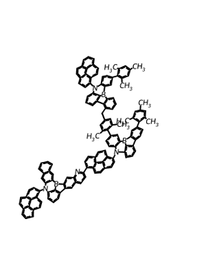 Cc1cc(C)c(-c2ccc3c(c2)B2c4cc(-c5c(C)cc(Cc6cccc7c6-c6cccc8c6B7c6cc(-c7c(C)cc(C)cc7C)ccc6N8c6ccc7ccc8cccc9ccc6c7c89)cc5C)ccc4N(c4ccc5ccc6c(-c7ccc8cc9c(cc8n7)B7c8cc%10ccccc%10cc8N(c8ccc%10ccc%11cccc%12ccc8c%10c%11%12)c8cccc-9c87)ccc7ccc4c5c76)c4cccc-3c42)c(C)c1